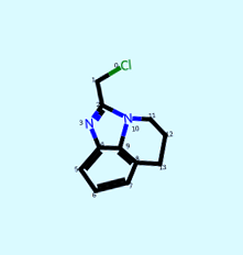 ClCc1nc2cccc3c2n1CCC3